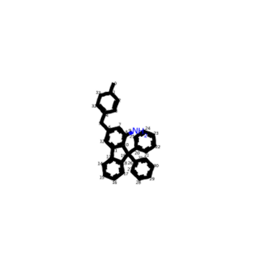 CC1C=CC(Cc2cc(N)c3c(c2)-c2ccccc2C3(c2ccccc2)c2ccccc2)=CC1